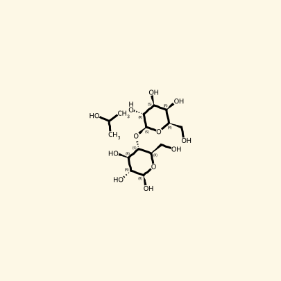 CC(C)O.OC[C@H]1O[C@@H](O[C@H]2[C@H](O)[C@@H](O)[C@H](O)O[C@@H]2CO)[C@H](O)[C@@H](O)[C@H]1O